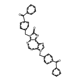 O=C(c1ccccc1)c1ccc(Cn2c3ncnc4c(ncn4Cc4ccc(C(=O)c5ccccc5)cc4)c-3nc2=O)cc1